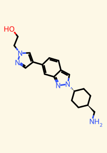 NC[C@H]1CC[C@H](n2cc3ccc(-c4cnn(CCO)c4)cc3n2)CC1